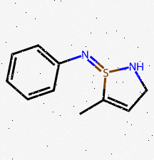 CC1=CCNS1=Nc1ccccc1